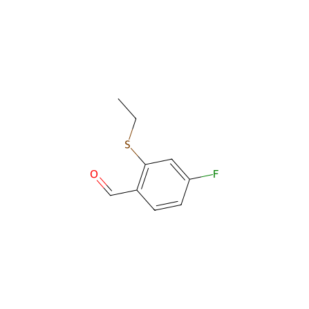 CCSc1cc(F)ccc1C=O